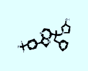 CC(Cc1ccccc1)(CN1CCC(O)C1)c1ccnc2c(-c3ccc(C(F)(F)F)cc3)cnn12